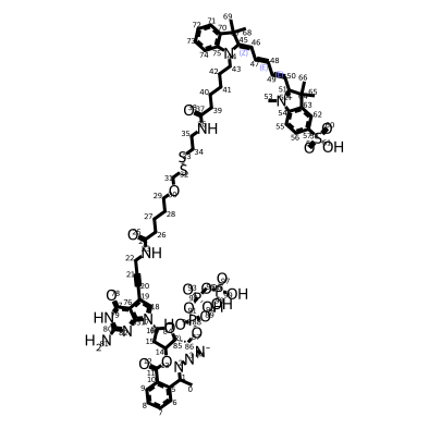 CC(N=[N+]=[N-])c1ccccc1C(=O)OC1C[C@H](n2cc(C#CCNC(=O)CCCCOCSSCCNC(=O)CCCCCN3\C(=C/C=C/C=C/C4=[N+](C)c5ccc(S(=O)(=O)O)cc5C4(C)C)C(C)(C)c4ccccc43)c3c(=O)[nH]c(N)nc32)O[C@@H]1COP(=O)(O)OP(=O)(O)OP(=O)(O)O